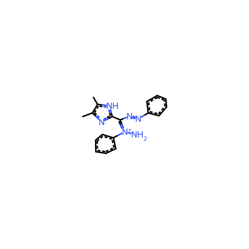 Cc1nc(C(N=Nc2ccccc2)=[N+](N)c2ccccc2)[nH]c1C